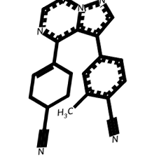 Cc1cc(-c2cnn3ccnc(C4=CCC(C#N)CC4)c23)ccc1C#N